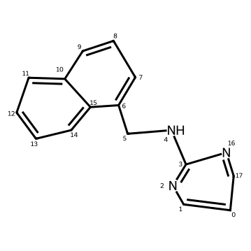 c1cnc(NCc2cccc3ccccc23)nc1